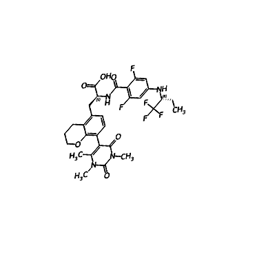 CC[C@@H](Nc1cc(F)c(C(=O)N[C@@H](Cc2ccc(-c3c(C)n(C)c(=O)n(C)c3=O)c3c2CCCO3)C(=O)O)c(F)c1)C(F)(F)F